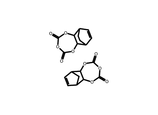 O=C1OC(=O)OC2C3C=CC(C3)C2O1.O=C1OC(=O)OC2C3C=CC(CC3)C2O1